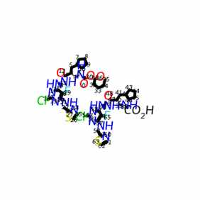 O=C(NC[C@@H](CC1CCCC1)C(=O)NNc1nc(Cl)nc(NCc2nccs2)c1F)OC1CCCCO1.O=C(O)NC[C@@H](CC1CCCC1)C(=O)NNc1nc(Cl)nc(NCc2nccs2)c1F